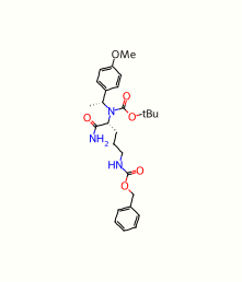 COc1ccc([C@@H](C)N(C(=O)OC(C)(C)C)[C@H](CCCNC(=O)OCc2ccccc2)C(N)=O)cc1